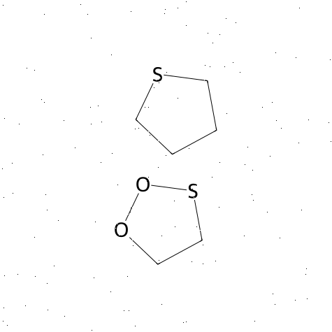 C1CCSC1.C1CSOO1